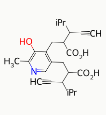 C#CC(C(C)C)C(Cc1cnc(C)c(O)c1CC(C(=O)O)C(C#C)C(C)C)C(=O)O